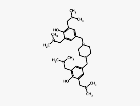 CN(C)Cc1cc(CN2CCN(Cc3cc(CN(C)C)c(O)c(CN(C)C)c3)CC2)cc(CN(C)C)c1O